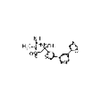 CN1C(=N)N[C@](C)(c2cc(-c3cncc(-c4cnco4)c3)cs2)CS1(=O)=O